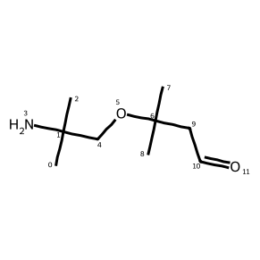 CC(C)(N)COC(C)(C)CC=O